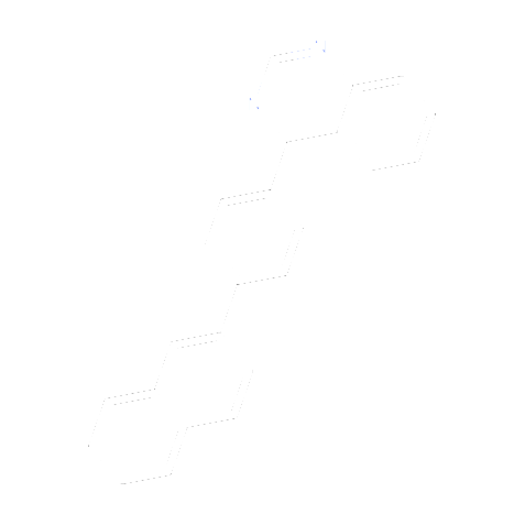 c1ccc2cc(-c3ccc(-c4ncnc5ccccc45)cc3)ccc2c1